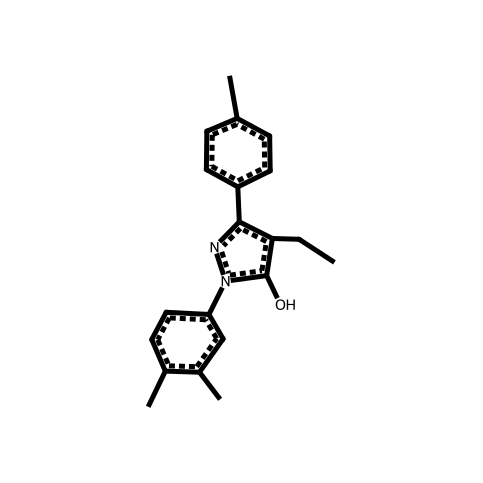 CCc1c(-c2ccc(C)cc2)nn(-c2ccc(C)c(C)c2)c1O